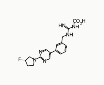 N=C(NCc1cccc(-c2cnc(N3CC[C@H](F)C3)nc2)c1)NC(=O)O